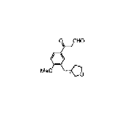 COc1ccc(C(=O)CC=O)cc1C[C@@H]1CCOC1